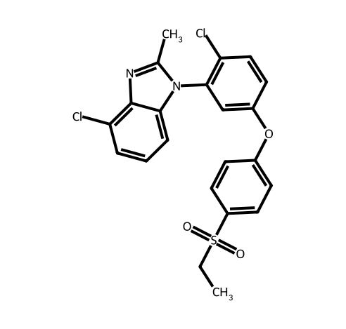 CCS(=O)(=O)c1ccc(Oc2ccc(Cl)c(-n3c(C)nc4c(Cl)cccc43)c2)cc1